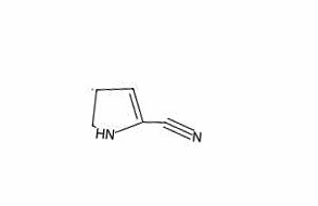 N#CC1=C[CH]CN1